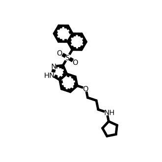 O=S(=O)(c1cccc2ccccc12)c1n[nH]c2ccc(OCCCNC3CCCC3)cc12